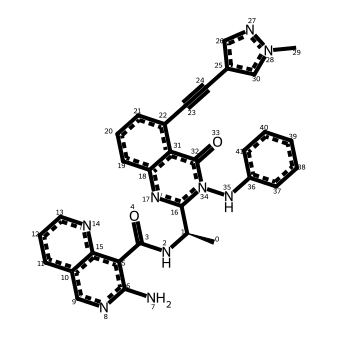 C[C@@H](NC(=O)c1c(N)ncc2cccnc12)c1nc2cccc(C#Cc3cnn(C)c3)c2c(=O)n1Nc1ccccc1